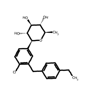 CCc1ccc(Cc2cc([C@@H]3O[C@H](C)[C@@H](O)[C@H](O)[C@H]3O)ccc2Cl)cc1